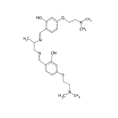 CC(CN=Cc1ccc(OCCN(C)C)cc1O)N=Cc1ccc(OCCN(C)C)cc1O